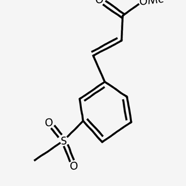 COC(=O)/C=C/c1cccc(S(C)(=O)=O)c1